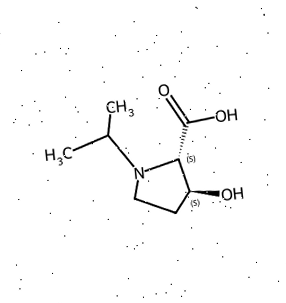 CC(C)N1CC[C@H](O)[C@H]1C(=O)O